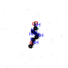 CS(=O)(=O)NCc1cc(F)cc(-c2nccc3[nH]c(-c4n[nH]c5ccc(-c6cncc(NC(=O)CC7CCCCC7)c6)cc45)nc23)c1